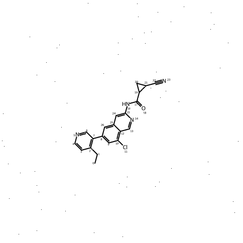 CCc1ccncc1-c1cc(Cl)c2cnc(NC(=O)C3CC3C#N)cc2c1